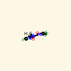 Cc1nn(CCCC(=O)NCc2ccc(C(F)(F)F)cc2)c(=O)c2nn(-c3ccc(F)cc3)cc12